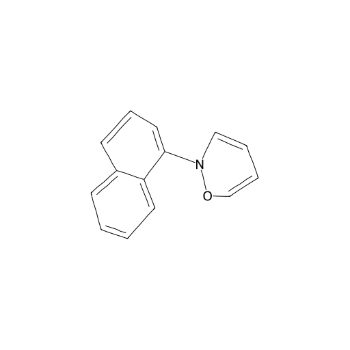 C1=CON(c2cccc3ccccc23)C=C1